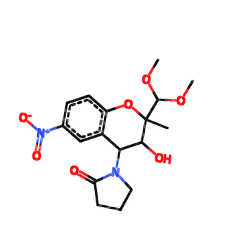 COC(OC)C1(C)Oc2ccc([N+](=O)[O-])cc2C(N2CCCC2=O)C1O